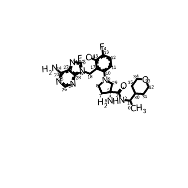 CC(NC(=O)[C@@]1(N)CCN(c2ccc(F)c(C(F)(F)F)c2Cn2cnc3c(N)ncnc32)C1)C1CCOCC1